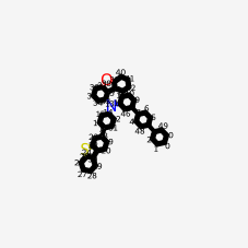 c1ccc(-c2ccc(-c3cccc(N(c4ccc(-c5ccc6c(c5)sc5ccccc56)cc4)c4cccc5oc6ccccc6c45)c3)cc2)cc1